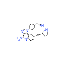 N#CCc1ccc(-n2cnc3c(N)nc4ccc(C#Cc5cccnc5)cc4c32)cc1